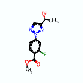 COC(=O)c1ccc(-n2ncc(C(C)O)n2)cc1F